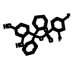 O=S(=O)(OS(c1ccccc1)(c1ccccc1)c1ccc(O)cc1O)c1ccc(F)cc1F